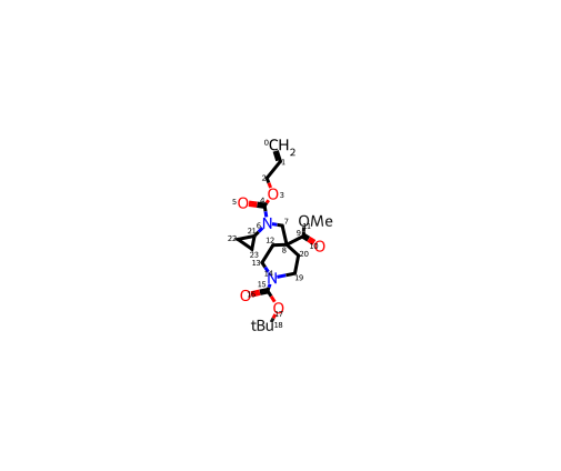 C=CCOC(=O)N(CC1(C(=O)OC)CCN(C(=O)OC(C)(C)C)CC1)C1CC1